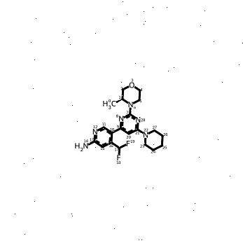 C[C@H]1COCCN1c1nc(-c2cnc(N)cc2C(F)F)cc(N2CCCCC2)n1